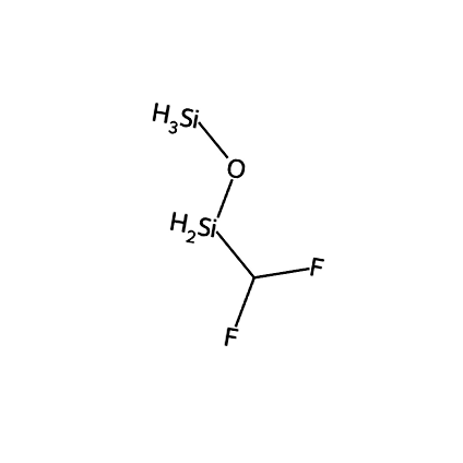 FC(F)[SiH2]O[SiH3]